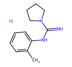 Cc1ccccc1NC(=N)N1CCCC1.I